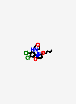 C1COCCN1.CCCCOc1ccc(=O)n(-c2ccc(Cl)c(Cl)c2)n1